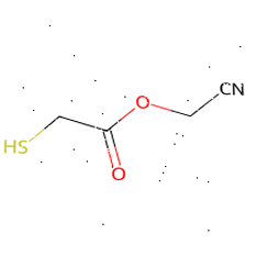 N#CCOC(=O)CS